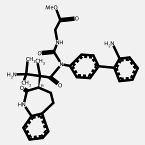 COC(=O)CNC(=O)N(C(=O)C(C)([C@H]1CCc2ccccc2NC1=O)C(C)(C)N)c1ccc(-c2ccccc2N)cc1